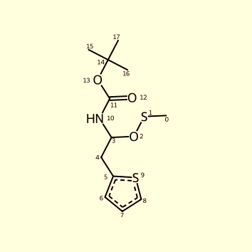 CSOC(Cc1cccs1)NC(=O)OC(C)(C)C